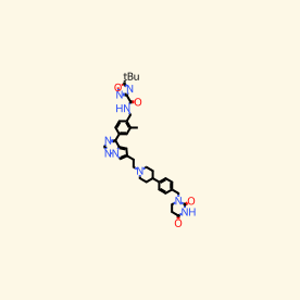 Cc1cc(-c2ncnn3cc(CCN4CCC(c5ccc(CN6CCC(=O)NC6=O)cc5)CC4)cc23)ccc1CNC(=O)c1noc(C(C)(C)C)n1